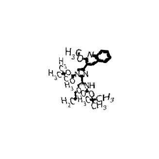 C=CCOC[C@H](NC(=O)OC(C)(C)C)c1nc(-c2cc3ccccc3nc2OC)cn1C(=O)OC(C)(C)C